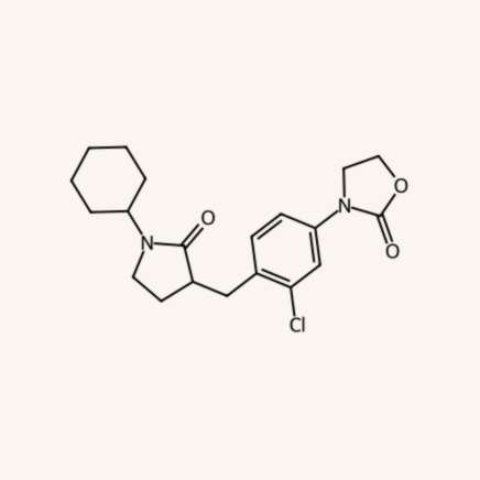 O=C1OCCN1c1ccc(CC2CCN(C3CCCCC3)C2=O)c(Cl)c1